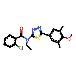 CCN(C(=O)c1ccccc1Cl)c1nnc(-c2cc(C)c(OC)c(C)c2)s1